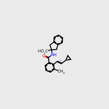 Cc1cccc(C(=O)NC2(C(=O)O)Cc3ccccc3C2)c1/C=C/C1CC1